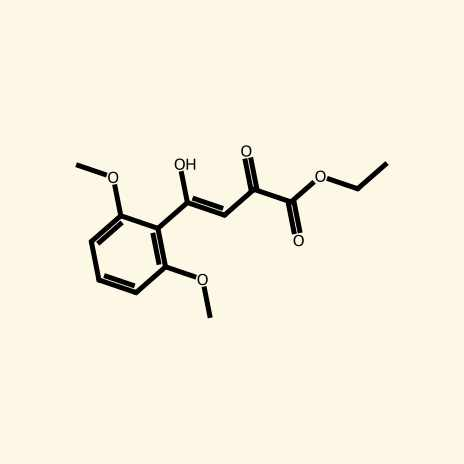 CCOC(=O)C(=O)C=C(O)c1c(OC)cccc1OC